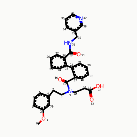 COc1cccc(CCN(CCC(=O)O)C(=O)c2ccccc2-c2ccccc2C(=O)NCc2cccnc2)c1